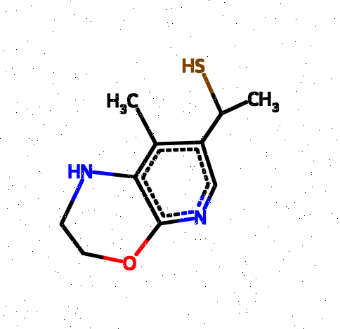 Cc1c(C(C)S)cnc2c1NCCO2